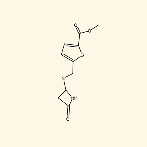 COC(=O)c1ccc(CSC2CC(=O)N2)o1